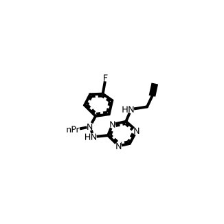 C#CCNc1ncnc(NN(CCC)c2ccc(F)cc2)n1